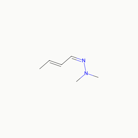 C/C=C/C=N\N(C)C